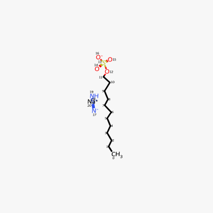 CCCCCCCCCCCCOS(=O)(=O)[O-].[N-]=[N+]=N.[Na+]